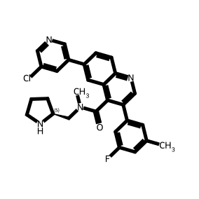 Cc1cc(F)cc(-c2cnc3ccc(-c4cncc(Cl)c4)cc3c2C(=O)N(C)C[C@@H]2CCCN2)c1